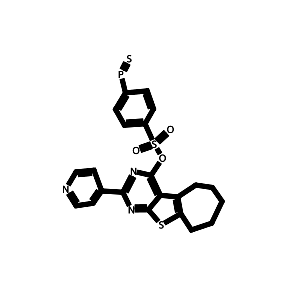 O=S(=O)(Oc1nc(-c2ccncc2)nc2sc3c(c12)CCCCC3)c1ccc(P=S)cc1